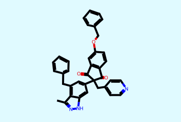 Cc1n[nH]c2cc(C3(Cc4ccncc4)C(=O)c4ccc(OCc5ccccc5)cc4C3=O)cc(Cc3ccccc3)c12